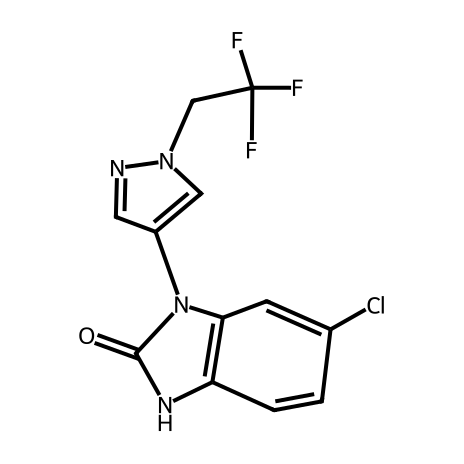 O=c1[nH]c2ccc(Cl)cc2n1-c1cnn(CC(F)(F)F)c1